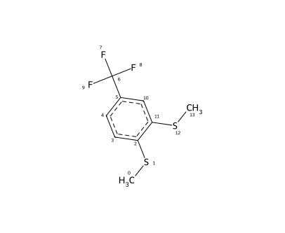 CSc1ccc(C(F)(F)F)cc1SC